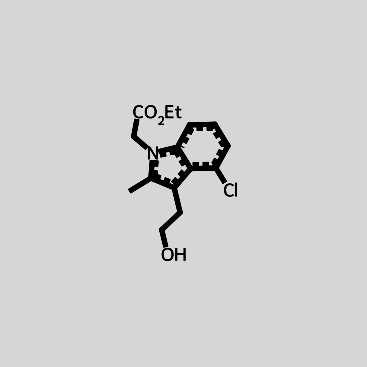 CCOC(=O)Cn1c(C)c(CCO)c2c(Cl)cccc21